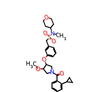 COC1CN(C(=O)c2ccccc2C2CC2)CC1Oc1cccc(CS(=O)(=O)N(C)C2CCOCC2)c1